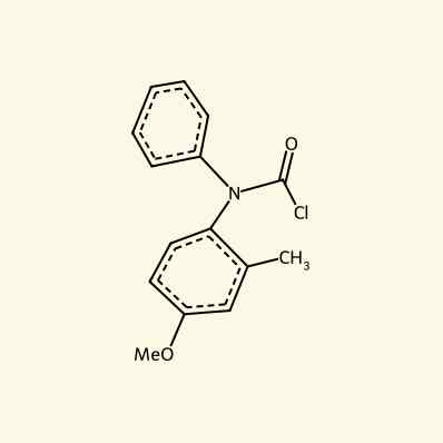 COc1ccc(N(C(=O)Cl)c2ccccc2)c(C)c1